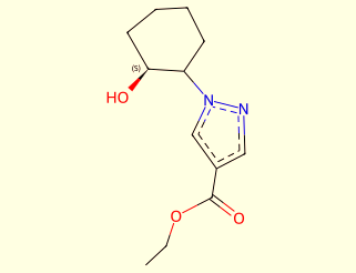 CCOC(=O)c1cnn(C2CCCC[C@@H]2O)c1